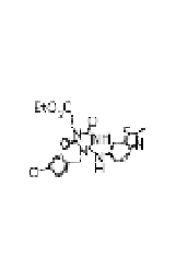 CCOC(=O)CCN1C(=O)NC(Nc2ccc3nc(C)sc3c2)N(Cc2ccc(Cl)cc2)C1=O